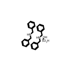 O=S(=O)(O)O.c1ccc(CNCc2ccccc2)cc1.c1ccc(CNCc2ccccc2)cc1